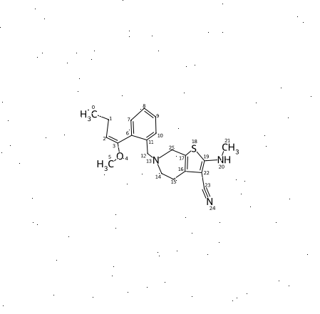 CC/C=C(/OC)c1ccccc1CN1CCc2c(sc(NC)c2C#N)C1